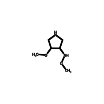 CONC1CNCC1OC